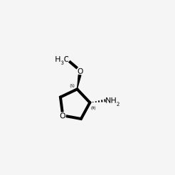 CO[C@@H]1COC[C@H]1N